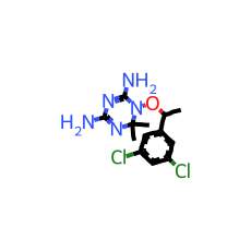 CC(ON1C(N)=NC(N)=NC1(C)C)c1cc(Cl)cc(Cl)c1